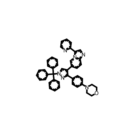 c1ccc(C(c2ccccc2)(c2ccccc2)n2cc(-c3ccc4ncc(-c5ccccn5)n4c3)c(-c3ccc(N4CCOCC4)cc3)n2)cc1